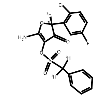 [2H]C([2H])(c1ccccc1)S(=O)(=O)OC1=C(N)O[C@]([2H])(c2cc(F)ccc2Cl)C1=O